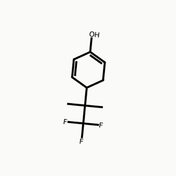 CC(C)(C1C=CC(O)=CC1)C(F)(F)F